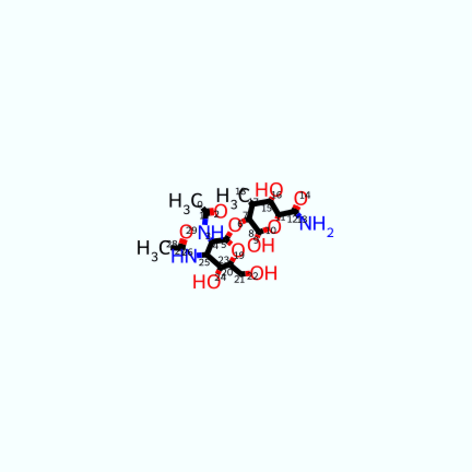 CC(=O)NC1C(OC2C(O)OC(C(N)=O)C(O)C2C)OC(CO)C(O)C1NC(C)=O